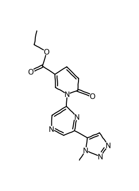 CCOC(=O)c1ccc(=O)n(-c2cncc(-c3cnnn3C)n2)c1